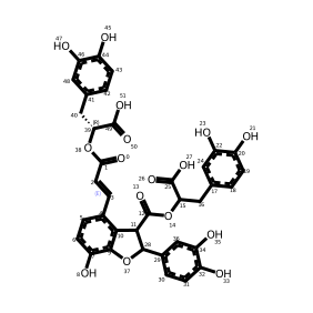 O=C(/C=C/c1ccc(O)c2c1C(C(=O)OC(Cc1ccc(O)c(O)c1)C(=O)O)C(c1ccc(O)c(O)c1)O2)O[C@H](Cc1ccc(O)c(O)c1)C(=O)O